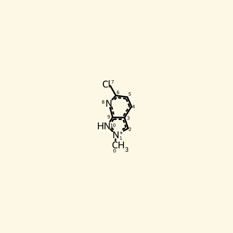 C[n+]1cc2ccc(Cl)nc2[nH]1